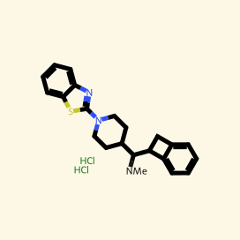 CNC(C1CCN(c2nc3ccccc3s2)CC1)C1Cc2ccccc21.Cl.Cl